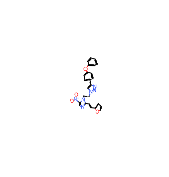 O=[N+]([O-])c1cnc(C=Cc2ccco2)n1CCn1cc(-c2ccc(Oc3ccccc3)cc2)nn1